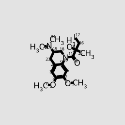 COc1cc2c(cc1OC)N(C(=O)C(C)(C)CI)CC(N(C)C)C2